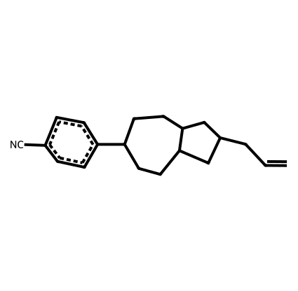 C=CCC1CC2CCC(c3ccc(C#N)cc3)CCC2C1